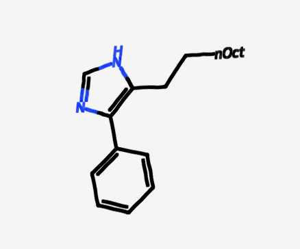 CCCCCCCCCCc1[nH]cnc1-c1ccccc1